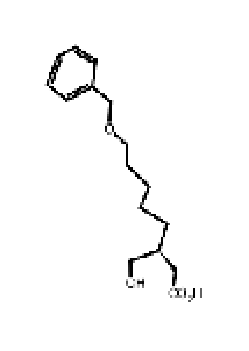 O=C(O)C[C@@H](CO)CCCCCOCc1ccccc1